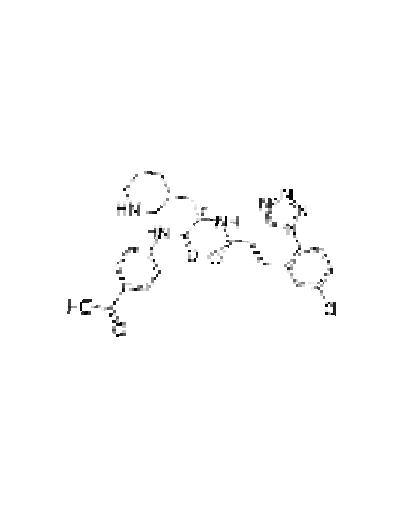 O=C(C=Cc1cc(Cl)ccc1-n1cnnn1)N[C@@H](CC1CCCNC1)C(=O)Nc1ccc(C(=O)O)cc1